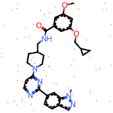 COc1cc(OCC2CC2)cc(C(=O)NCC2CCN(c3ccnc(-c4ccc5cnn(C)c5c4)n3)CC2)c1